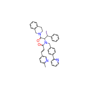 Cc1ccc(C=CC(=O)N(Cc2ccc(-c3ccccn3)cc2)C(C(=O)N2CCc3ccccc3C2)C(I)c2ccccc2)cn1